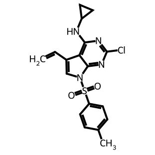 C=Cc1cn(S(=O)(=O)c2ccc(C)cc2)c2nc(Cl)nc(NC3CC3)c12